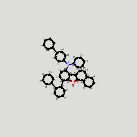 c1ccc(-c2ccc(N(c3ccccc3)c3ccc(-c4ccccc4-c4ccccc4)c4oc5c6ccccc6ccc5c34)cc2)cc1